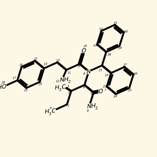 CCC(C)C(C(N)=O)N(C(=O)C(N)Cc1ccc(O)cc1)C(c1ccccc1)c1ccccc1